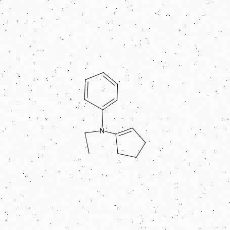 CCN(C1=CCCC1)c1ccccc1